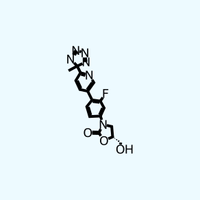 CC1(c2ccc(-c3ccc(N4C[C@H](CO)OC4=O)cc3F)cn2)N=NN=N1